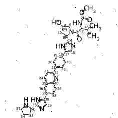 COC(=O)N[C@H](C(=O)N1C[C@H](O)C[C@H]1c1ncc(-c2ccc(-c3ccc4cc(-c5cnc([C@@H]6CCCN6)[nH]5)ccc4n3)cc2)[nH]1)C(C)C